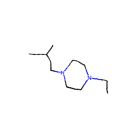 CCN1CCN(CC(C)C)CC1